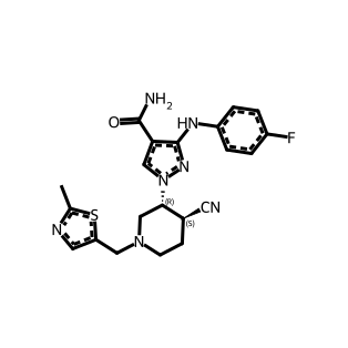 Cc1ncc(CN2CC[C@H](C#N)[C@@H](n3cc(C(N)=O)c(Nc4ccc(F)cc4)n3)C2)s1